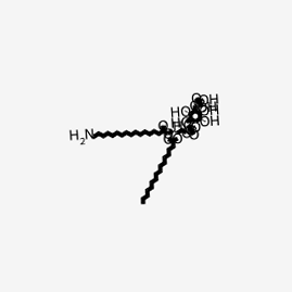 CCCCCCCCCCCCCCCC(=O)O[C@H](COC(=O)CCCCCCCCCCCCCCCN)COP(=O)(O)OC1C(O)[C@H](O)C(OP(=O)(O)O)[C@H](O)[C@@H]1O